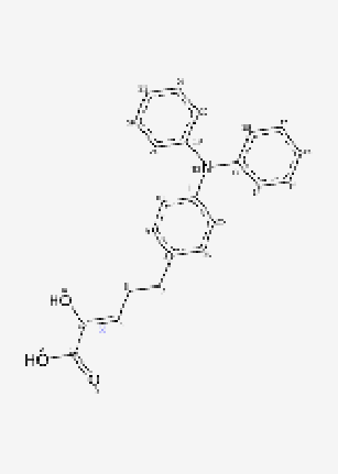 O=C(O)/C(O)=C/CCc1ccc(N(c2ccccc2)c2ccccc2)cc1